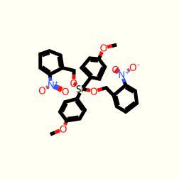 COc1ccc([Si](OCc2ccccc2[N+](=O)[O-])(OCc2ccccc2[N+](=O)[O-])c2ccc(OC)cc2)cc1